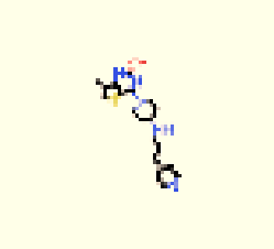 COc1nc(N2CCC(NCCCc3ccncc3)CC2)c2scc(C)c2n1